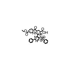 CCOC(=O)N1CCN(C(=O)C(CCC(=O)O)NC(=O)c2nc(-c3ccccc3)ncc2NS(=O)(=O)c2ccccc2)CC1